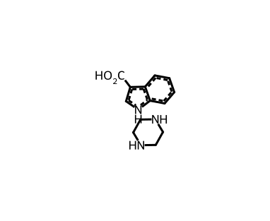 C1CNCCN1.O=C(O)c1c[nH]c2ccccc12